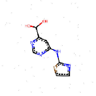 OC(O)c1cc(Nc2nccs2)ncn1